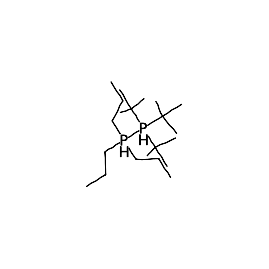 CCC[PH](CCC)(CCC)[PH](C(C)(C)C)(C(C)(C)C)C(C)(C)C